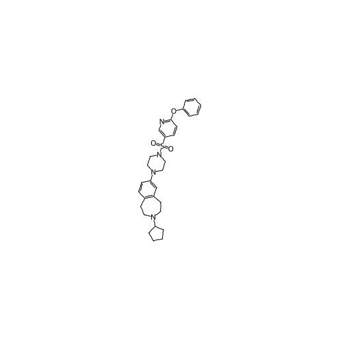 O=S(=O)(c1ccc(Oc2ccccc2)nc1)N1CCN(c2ccc3c(c2)CCN(C2CCCC2)CC3)CC1